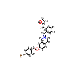 Brc1ccc(COc2ccc3c(c2)CN(CC2C=CC=C[C@@H]2CC2CCO2)CC3)cc1